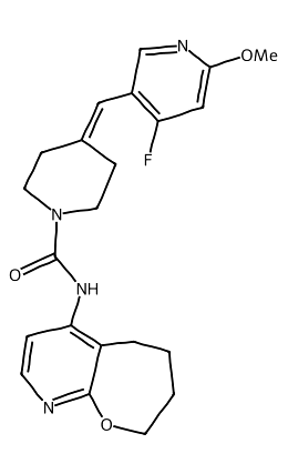 COc1cc(F)c(C=C2CCN(C(=O)Nc3ccnc4c3CCCCO4)CC2)cn1